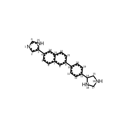 c1ncc(-c2ccc3cc(-c4ccc(C5CNCN5)cc4)ccc3c2)[nH]1